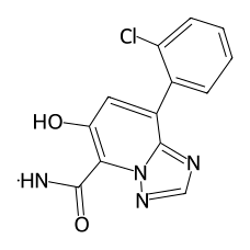 [NH]C(=O)c1c(O)cc(-c2ccccc2Cl)c2ncnn12